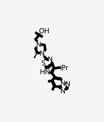 Cc1c(-c2[nH]c3sc(N4CCN(CC(C)(C)O)C[C@@H]4C)nc3c2C(C)C)cn2ncnc2c1C